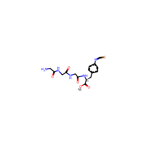 [2H]OC(=O)[C@H](Cc1ccc(N=C=S)cc1)NC(=O)CNC(=O)CNC(=O)CN